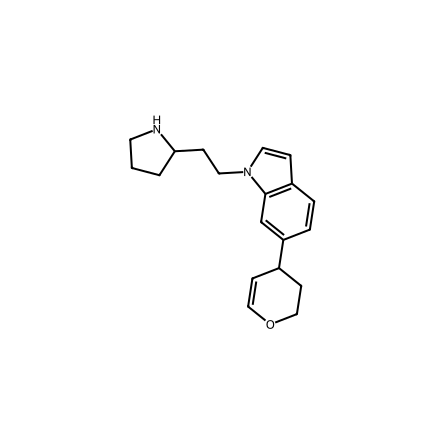 C1=CC(c2ccc3ccn(CCC4CCCN4)c3c2)CCO1